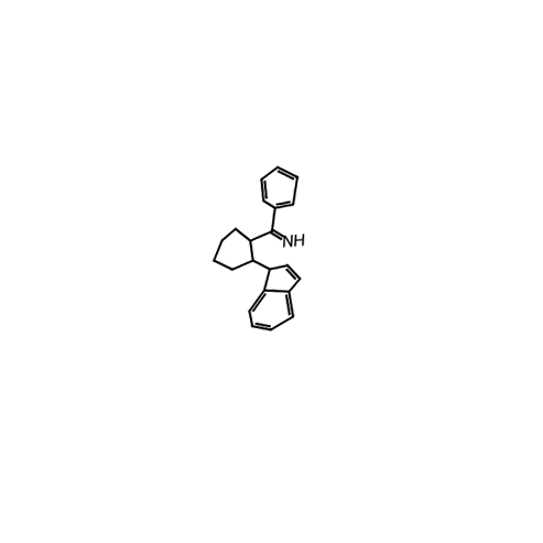 N=C(c1ccccc1)C1CCCCC1C1C=Cc2ccccc21